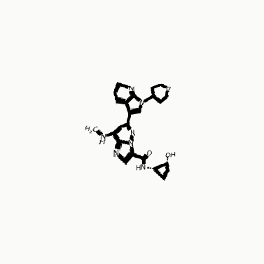 CNc1cc(-c2cn(C3CCOCC3)c3ncccc23)nn2c(C(=O)N[C@H]3CC[C@H]3O)cnc12